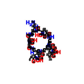 CC(C)C(=O)c1ccc(C(=O)N2CCCCN(C(=O)c3ccc(C(=O)C(C)C)n(O)c3=O)CCCNC(=O)c3ccc(n(O)c3=O)C(=O)NC(CCCCN)CNC(=O)c3ccc(c(=O)n3O)C(=O)NCCC2)c(=O)n1O